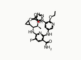 CCOc1ncc(Nc2nc(N[C@@H](C3CC3)[C@H](C)NC(=O)O)c(F)cc2C(N)=O)cc1-n1ccnn1